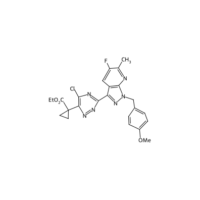 CCOC(=O)C1(c2nnc(-c3nn(Cc4ccc(OC)cc4)c4nc(C)c(F)cc34)nc2Cl)CC1